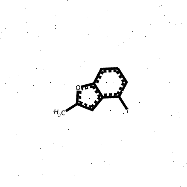 [CH2]c1cc2c(I)cccc2o1